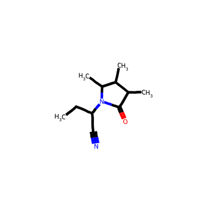 CCC(C#N)N1C(=O)C(C)C(C)C1C